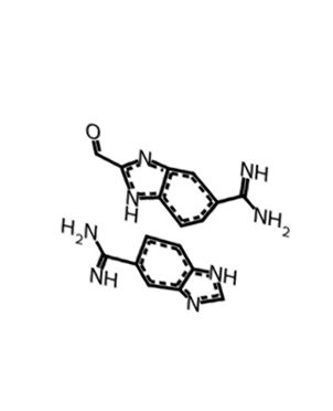 N=C(N)c1ccc2[nH]c(C=O)nc2c1.N=C(N)c1ccc2[nH]cnc2c1